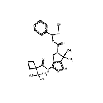 CC1(C)c2[nH]nc(NC(=O)C3([Si](C)(C)C)CCC3)c2CN1C(=O)OC(CO)c1ccccc1